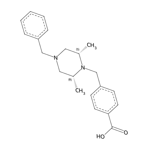 C[C@@H]1CN(Cc2ccccc2)C[C@H](C)N1Cc1ccc(C(=O)O)cc1